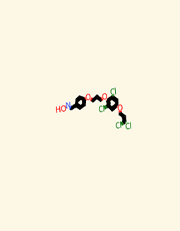 ON=Cc1ccc(OCCCOc2c(Cl)cc(OCC=C(Cl)Cl)cc2Cl)cc1